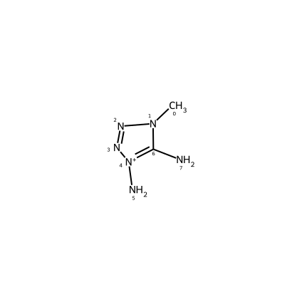 Cn1nn[n+](N)c1N